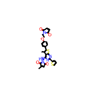 CC1=CC(=O)N(Nc2nc(-c3cccs3)nc3sc(-c4ccc(OCCN5C(=O)CCC5=O)cc4)c(C)c23)C1=O